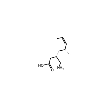 C/C=C\[C@H](C)C[C@H](CN)CC(=O)O